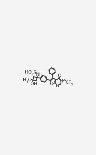 CC1(O)CC(NC(=O)O)(c2ccc(-c3oc4ncn(CC(F)(F)F)c(=O)c4c3-c3ccccc3)cc2)C1